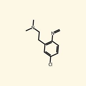 C=Nc1ccc(Cl)cc1CCN(C)C